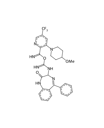 COC1CCN(c2cc(C(F)(F)F)cnc2C(=N)OC(=N)NC2N=C(c3ccccc3)c3ccccc3NC2=O)CC1